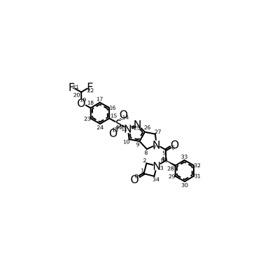 O=C1CN([C@@H](C(=O)N2Cc3cn(S(=O)(=O)c4ccc(OC(F)F)cc4)nc3C2)c2ccccc2)C1